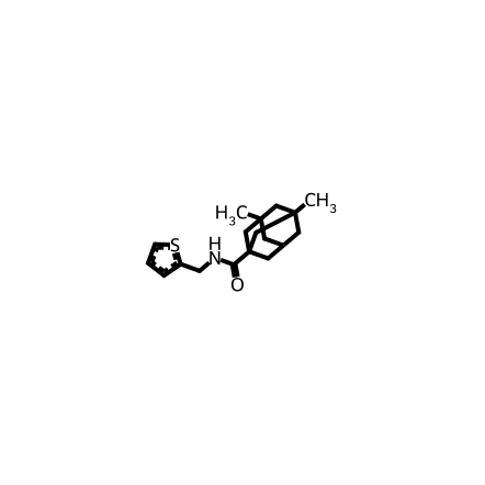 CC12CC3CC(C)(C1)CC(C(=O)NCc1cccs1)(C3)C2